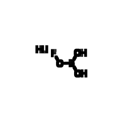 OB(O)OF.[LiH]